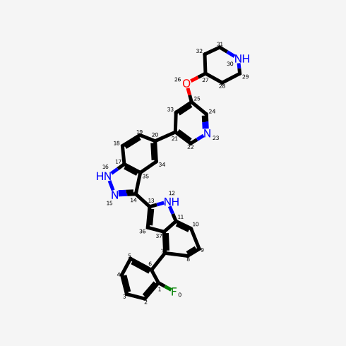 Fc1ccccc1-c1cccc2[nH]c(-c3n[nH]c4ccc(-c5cncc(OC6CCNCC6)c5)cc34)cc12